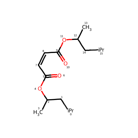 CC(C)CC(C)OC(=O)/C=C\C(=O)OC(C)CC(C)C